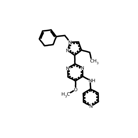 CCc1cn(CC2=CC=C[CH]C2)nc1-c1ncc(OC)c(Nc2ccncc2)n1